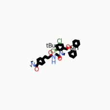 CN(C)C(=O)c1ccc(C=CC(=O)NCC(=O)N(C)c2c(CO[SiH](c3ccccc3)c3ccccc3)cc(Cl)c(C(C)(C)C)c2Cl)cc1